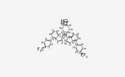 CC1=Cc2c(-c3ccc(C(F)(F)F)cc3)cccc2[CH]1[Hf]1([CH]2C(C)=Cc3c(-c4ccc(C(F)(F)F)cc4)cccc32)[CH]2CCCC[CH]21.Cl.Cl